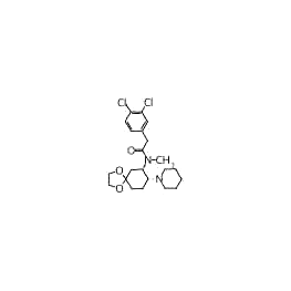 CN(C(=O)Cc1ccc(Cl)c(Cl)c1)[C@@H]1CC2(CC[C@H]1N1CCCCC1)OCCO2